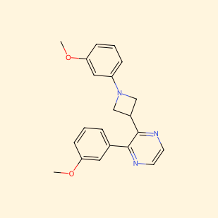 COc1cccc(-c2nccnc2C2CN(c3cccc(OC)c3)C2)c1